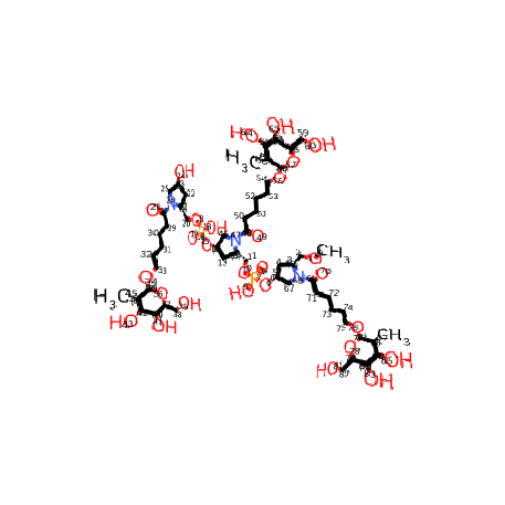 COC[C@@H]1C[C@@H](OP(=O)(O)OC[C@@H]2C[C@@H](OP(=O)(O)OC[C@@H]3CC(O)CN3C(=O)CCCCCO[C@@H]3OC(CO)[C@H](O)C(O)[C@@H]3C)CN2C(=O)CCCCCO[C@@H]2OC(CO)[C@H](O)C(O)[C@@H]2C)CN1C(=O)CCCCCO[C@@H]1OC(CO)[C@H](O)C(O)[C@@H]1C